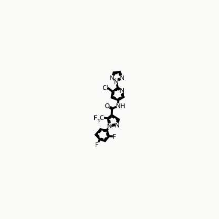 O=C(Nc1cnc(-n2nccn2)c(Cl)c1)c1cnn(-c2ccc(F)cc2F)c1C(F)(F)F